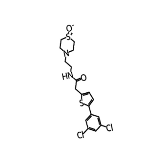 O=C(Cc1ccc(-c2cc(Cl)cc(Cl)c2)s1)NCCN1CC[S+]([O-])CC1